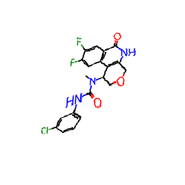 CN(C(=O)Nc1cccc(Cl)c1)[C@@H]1COCc2[nH]c(=O)c3cc(F)c(F)cc3c21